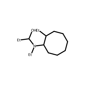 CCC1CCCCCCC1N(CC)C(O)CC